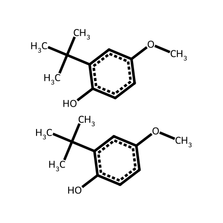 COc1ccc(O)c(C(C)(C)C)c1.COc1ccc(O)c(C(C)(C)C)c1